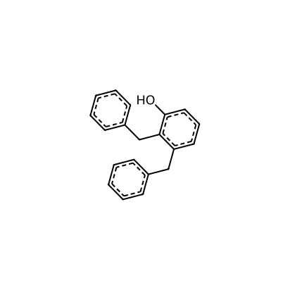 Oc1cccc(Cc2ccccc2)c1Cc1ccccc1